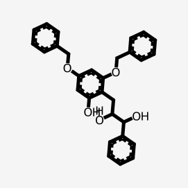 Oc1cc(OCc2ccccc2)cc(OCc2ccccc2)c1CC(O)C(O)c1ccccc1